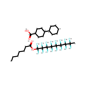 CCCCCCC(=O)OC(F)(F)C(F)(F)C(F)(F)C(F)(F)C(F)(F)C(F)(F)C(F)(F)C(C)(F)F.O=C(O)C1CCC(C2CCCCC2)CC1